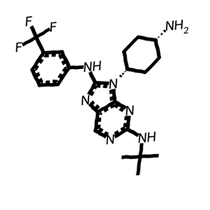 CC(C)(C)Nc1ncc2nc(Nc3cccc(C(F)(F)F)c3)n([C@H]3CC[C@@H](N)CC3)c2n1